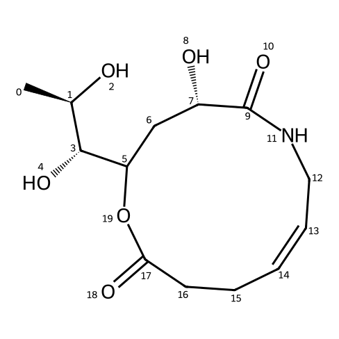 C[C@@H](O)[C@@H](O)C1C[C@H](O)C(=O)NC/C=C\CCC(=O)O1